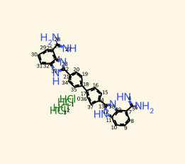 Cl.Cl.Cl.Cl.N=C(N)c1cccc2[nH]c(-c3ccc(-c4ccc(-c5nc6c(C(=N)N)cccc6[nH]5)cc4)cc3)nc12